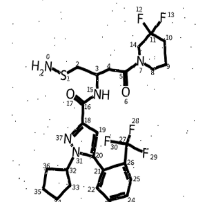 NSCC(CC(=O)N1CCCC(F)(F)C1)NC(=O)c1cc(-c2ccccc2C(F)(F)F)n(C2CCCC2)n1